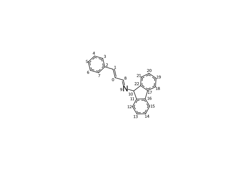 C(=C\c1ccccc1)/C=N/C1c2ccccc2-c2ccccc21